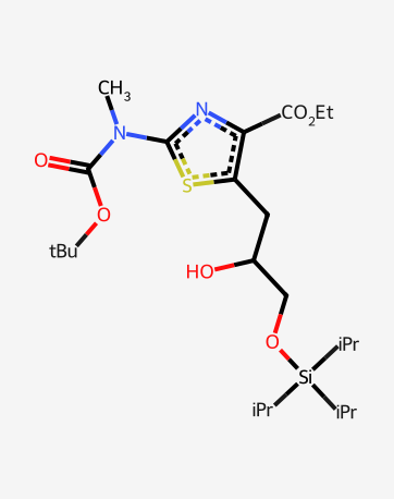 CCOC(=O)c1nc(N(C)C(=O)OC(C)(C)C)sc1CC(O)CO[Si](C(C)C)(C(C)C)C(C)C